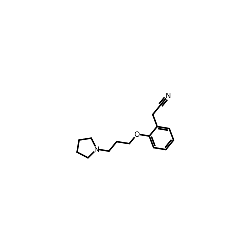 N#CCc1ccccc1OCCCN1CCCC1